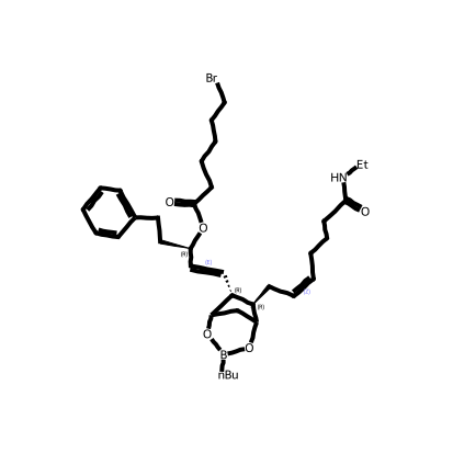 CCCCB1OC2CC(O1)[C@H](C/C=C\CCCC(=O)NCC)[C@H]2/C=C/[C@@H](CCc1ccccc1)OC(=O)CCCCCBr